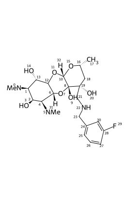 CN[C@@H]1[C@H](O)[C@H](NC)[C@H]2O[C@]3(O)[C@H](OC2[C@H]1O)O[C@H](C)C[C@@]3(O)CNCc1cccc(F)c1